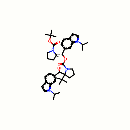 CC(C)n1ccc2ccc(C(OC(=O)N3CCCC3(C(O)c3ccc4ccn(C(C)C)c4c3)C(C)(C)C)[C@@H]3CCCN3C(=O)OC(C)(C)C)cc21